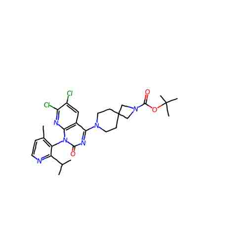 Cc1ccnc(C(C)C)c1-n1c(=O)nc(N2CCC3(CC2)CN(C(=O)OC(C)(C)C)C3)c2cc(Cl)c(Cl)nc21